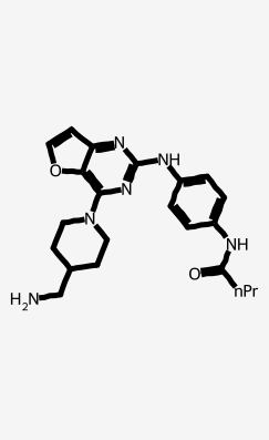 CCCC(=O)Nc1ccc(Nc2nc(N3CCC(CN)CC3)c3occc3n2)cc1